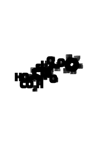 O=C(O)C1=C(CO)CS[C@H]2C(C(=O)COc3ccccc3)C(=O)N12